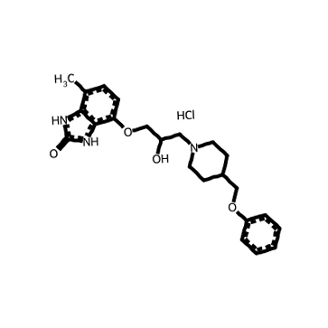 Cc1ccc(OCC(O)CN2CCC(COc3ccccc3)CC2)c2[nH]c(=O)[nH]c12.Cl